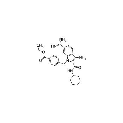 CCOC(=O)c1ccc(Cn2c(C(=O)NC3CCCCC3)c(N)c3ccc(C(=N)N)cc32)cc1